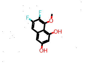 COc1c(F)c(F)cc2cc(O)cc(O)c12